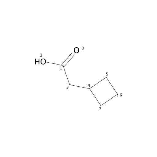 O=C(O)CC1C[CH]C1